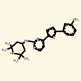 CC1(C)CC(Nc2nccc(-c3ccc(-c4cccc(N)c4)s3)n2)CC(C)(C)N1